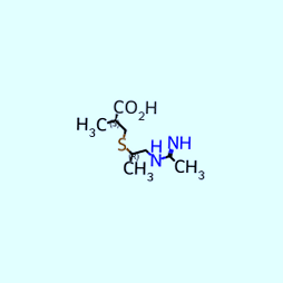 CC(=N)NC[C@@H](C)SC[C@@H](C)C(=O)O